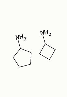 NC1CCC1.NC1CCCC1